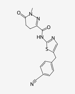 CN1N=C(C(=O)Nc2ncc(Cc3ccc(C#N)cc3)s2)CCC1=O